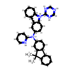 CC1(C)c2ccccc2-c2ccc(N(c3ccc4c(c3)c3ccccc3n4-c3ncncn3)c3ccccn3)cc21